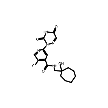 O=C(NCC1(O)CCCCCC1)c1cc(-n2ncc(=O)[nH]c2=O)ncc1Cl